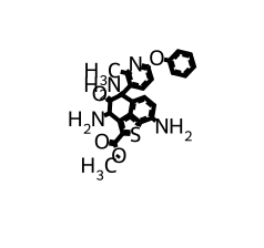 COC(=O)c1sc2c(N)ccc3c2c1C(N)C(=O)C3(N)c1ccc(Oc2ccccc2)nc1C